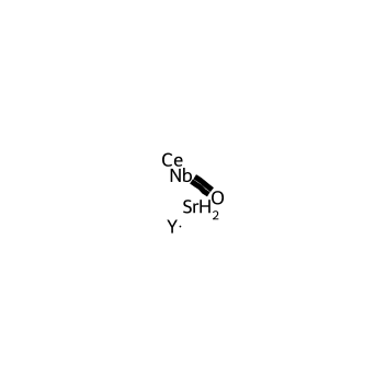 [Ce].[O]=[Nb].[SrH2].[Y]